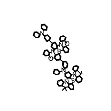 CC1(C)c2ccccc2N2c3cc(N(c4ccccc4)c4cccc(-c5cc6c7c(c5)B5c8cccc9c8N(c8ccccc8O9)c8cc(-c9ccc(N(c%10ccccc%10)c%10ccccc%10)cc9)cc(c85)N7c5ccccc5O6)c4)cc4c3B(c3cccc1c32)c1cccc2c1N4c1ccccc1C2(C)C